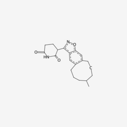 CC1CCCc2cc3onc(C4CCC(=O)NC4=O)c3cc2CCC1